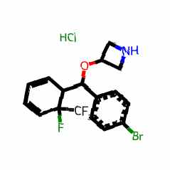 Cl.FC(F)(F)C1(F)C=CC=CC1C(OC1CNC1)c1ccc(Br)cc1